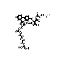 CCCCc1nc(Cl)c(C(=O)OC(C)OC(=O)OCC)n1Cc1ccc(-c2ccccc2-c2nnn(COC(=O)OCCOCCON(O)O)n2)cc1